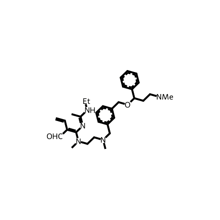 C=C/C(C=O)=C(\N=C(/C)NCC)N(C)CCN(C)Cc1cccc(COC(CCNC)c2ccccc2)c1